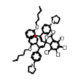 CCCCCOc1ccccc1C(=CC1(C=C(c2ccc(N3CCCC3)cc2)c2ccccc2OCCCCC)OC(=O)c2c(Cl)c(Cl)c(Cl)c(Cl)c21)c1ccc(N2CCCC2)cc1